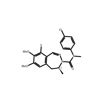 COc1cc2c(c(F)c1OC)C=NN(C(=O)N(C)c1ccc(Cl)cc1)[C@@H](C)C2